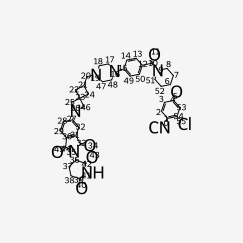 N#Cc1ccc(OC2CCN(C(=O)c3ccc(N4CCN(CC5CC6(C5)CN(c5ccc7c(c5)C(=O)N(C5CCC(=O)NC5=O)C7=O)C6)CC4)cc3)CC2)cc1Cl